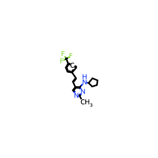 Cc1ncc(C=Cc2ccc(C(F)(F)F)cc2)c(NC2CCCC2)n1